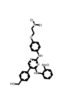 CCN(CC)CCOc1ccc(Nc2ncc(-c3ccc(CO)cc3)c(Nc3ccccc3OC)n2)cc1